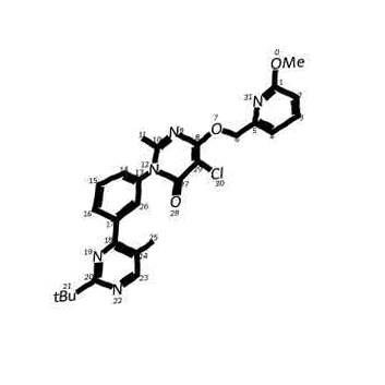 COc1cccc(COc2nc(C)n(-c3cccc(-c4nc(C(C)(C)C)ncc4C)c3)c(=O)c2Cl)n1